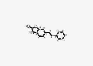 O=c1[nH]c2ccc(/C=C/c3ccccc3)cc2o1